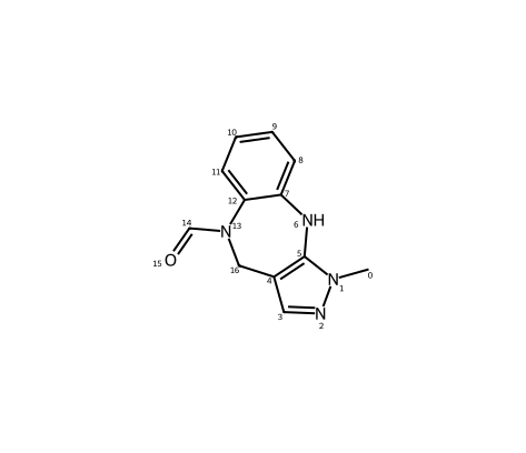 Cn1ncc2c1Nc1ccccc1N(C=O)C2